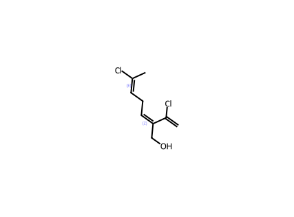 C=C(Cl)/C(=C\C/C=C(\C)Cl)CO